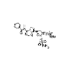 CC(C)(C)[Si](C)(C)OC[C@@H]1C[C@H](n2ccc3c(NC(=O)c4ccccc4)ncnc32)O[C@H]1COS(N)(=O)=O